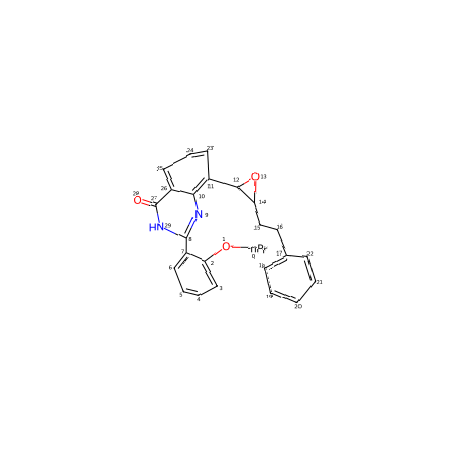 CCCOc1ccccc1-c1nc2c(C3OC3CCc3ccccc3)cccc2c(=O)[nH]1